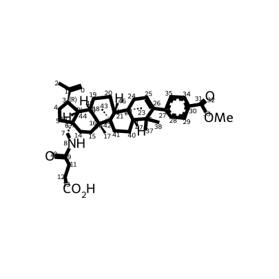 C=C(C)[C@@H]1CC[C@]2(CNC(=O)CCC(=O)O)CC[C@]3(C)[C@H](CC[C@@H]4[C@@]5(C)CC=C(c6ccc(C(=O)OC)cc6)C(C)(C)[C@@H]5CC[C@]43C)[C@@H]12